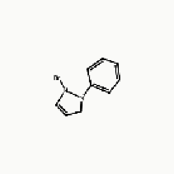 BrN1C=CCN1c1ccccc1